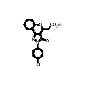 CCOC(=O)Cc1oc2ccccc2c2nn(-c3ccc(Cl)cc3)c(=O)c1-2